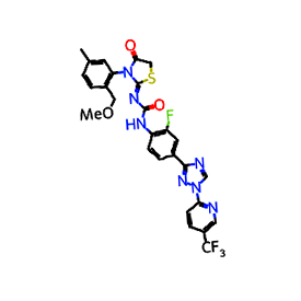 COCc1ccc(C)cc1N1C(=O)CSC1=NC(=O)Nc1ccc(-c2ncn(-c3ccc(C(F)(F)F)cn3)n2)cc1F